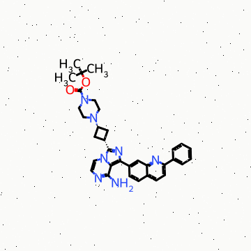 CC(C)(C)OC(=O)N1CCN([C@H]2C[C@@H](c3nc(-c4ccc5ccc(-c6ccccc6)nc5c4)c4c(N)nccn43)C2)CC1